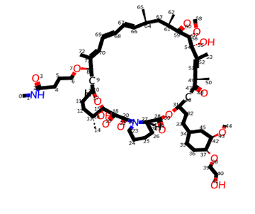 CNC(=O)CCCO[C@@H]1C[C@@H]2CC[C@@H](C)[C@@](O)(O2)C(=O)C(=O)N2CCCC[C@H]2C(=O)OC(CCC2CC[C@@H](OCCO)[C@H](OC)C2)CC(=O)[C@H](C)/C=C(\C)[C@@H](O)[C@@H](OC)C(=O)[C@H](C)C[C@H](C)/C=C/C=C/C=C/1C